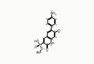 CCC(C)OP(=O)(O)c1cc2cc(-c3ccc([N+](=O)[O-])cc3)c(Cl)cc2[nH]c1=O